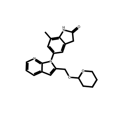 Cc1cc(-n2c(COC3CCCCO3)cc3cccnc32)cc2c1NC(=O)C2